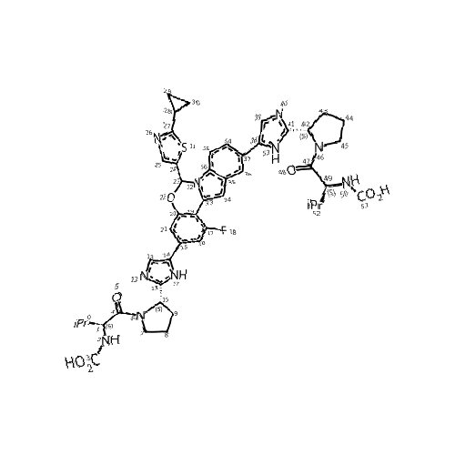 CC(C)[C@H](NC(=O)O)C(=O)N1CCC[C@H]1c1ncc(-c2cc(F)c3c(c2)OC(c2cnc(C4CC4)s2)n2c-3cc3cc(-c4cnc([C@@H]5CCCN5C(=O)[C@@H](NC(=O)O)C(C)C)[nH]4)ccc32)[nH]1